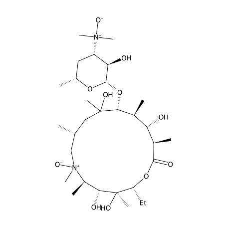 CC[C@H]1OC(=O)[C@H](C)[C@@H](O)[C@H](C)[C@@H](O[C@@H]2O[C@H](C)C[C@H]([N+](C)(C)[O-])[C@H]2O)C(C)(O)C[C@@H](C)C[N+](C)([O-])[C@H](C)[C@@H](O)[C@]1(C)O